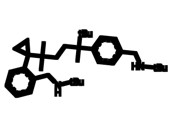 CC(C)(C)NCc1ccc(C(C)(CCC(C)(C)C2(c3ccccc3CNC(C)(C)C)CC2)C(C)(C)C)cc1